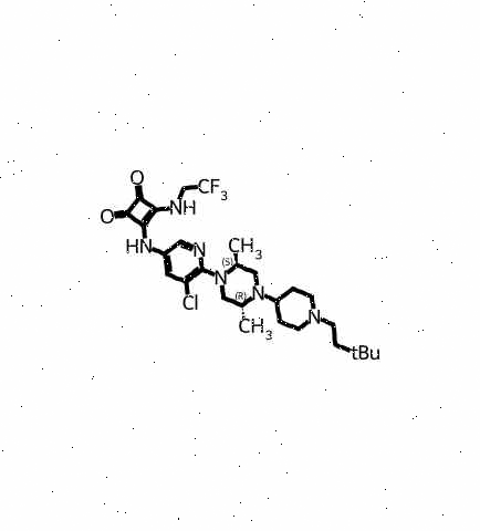 C[C@@H]1CN(c2ncc(Nc3c(NCC(F)(F)F)c(=O)c3=O)cc2Cl)[C@@H](C)CN1C1CCN(CCC(C)(C)C)CC1